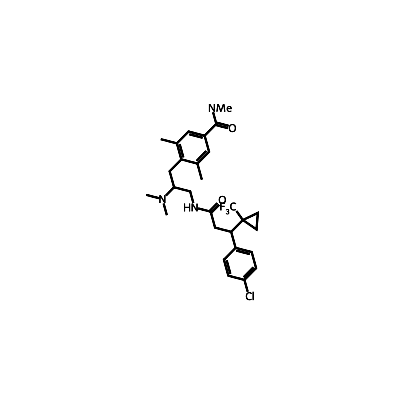 CNC(=O)c1cc(C)c(CC(CNC(=O)CC(c2ccc(Cl)cc2)C2(C(F)(F)F)CC2)N(C)C)c(C)c1